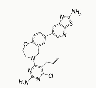 C=CCc1c(Cl)nc(N)nc1N1CCOc2ccc(-c3cnc4sc(N)nc4c3)cc2C1